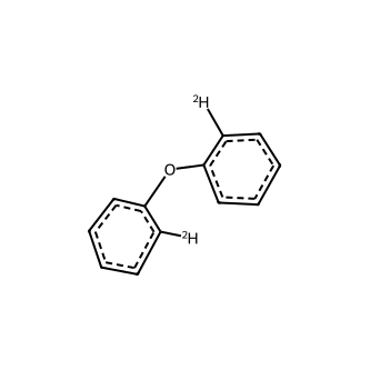 [2H]c1ccccc1Oc1ccccc1[2H]